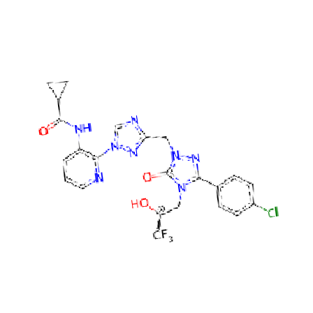 O=C(Nc1cccnc1-n1cnc(Cn2nc(-c3ccc(Cl)cc3)n(C[C@H](O)C(F)(F)F)c2=O)n1)C1CC1